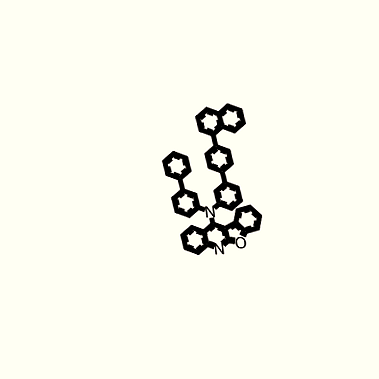 c1ccc(-c2cccc(N(c3cccc(-c4ccc(-c5cccc6ccccc56)cc4)c3)c3c4ccccc4nc4oc5ccccc5c34)c2)cc1